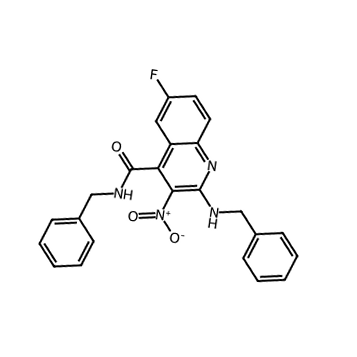 O=C(NCc1ccccc1)c1c([N+](=O)[O-])c(NCc2ccccc2)nc2ccc(F)cc12